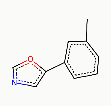 Cc1cccc(-c2cnco2)c1